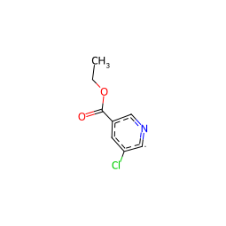 CCOC(=O)c1cn[c]c(Cl)c1